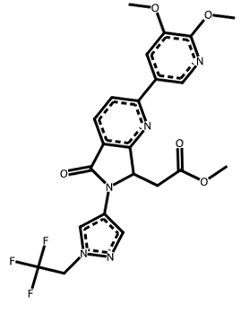 COC(=O)CC1c2nc(-c3cnc(OC)c(OC)c3)ccc2C(=O)N1c1cnn(CC(F)(F)F)c1